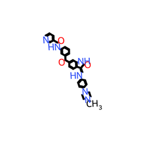 CN1CCN(c2ccc(N/C=C3/C(=O)Nc4cc(C(=O)c5cccc(NC(=O)c6cccnc6)c5)ccc43)cc2)CC1